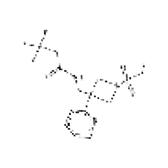 CCS(=O)(=O)N1CC(CNC(=O)CC(F)(F)F)(c2ccccn2)C1